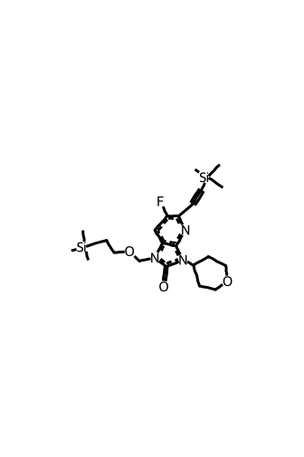 C[Si](C)(C)C#Cc1nc2c(cc1F)n(COCC[Si](C)(C)C)c(=O)n2C1CCOCC1